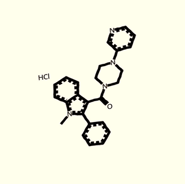 Cl.Cn1c(-c2ccccc2)c(C(=O)N2CCN(c3cccnc3)CC2)c2ccccc21